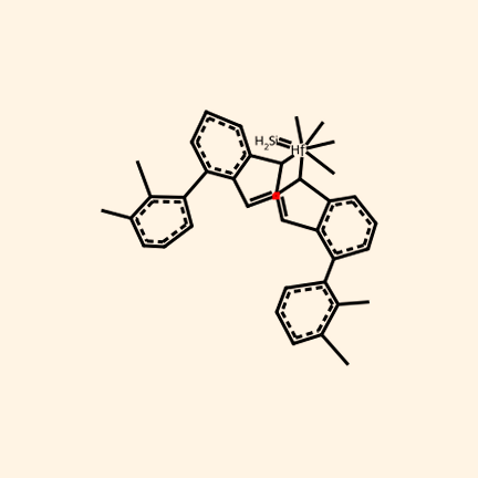 Cc1cccc(-c2cccc3c2C=C[CH]3[Hf]([CH3])([CH3])([CH3])([CH3])(=[SiH2])[CH]2C=Cc3c(-c4cccc(C)c4C)cccc32)c1C